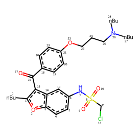 CCCCc1oc2ccc(NS(=O)(=O)CCl)cc2c1C(=O)c1ccc(OCCCN(CCCC)CCCC)cc1